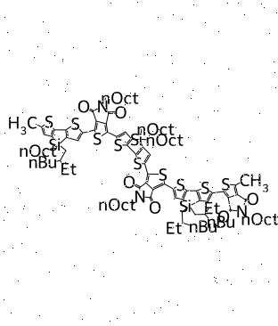 CCCCCCCCN1C(=O)c2c(C)sc(-c3cc4c(s3)-c3sc(-c5sc(-c6cc7c(s6)-c6sc(-c8sc(-c9cc%10c(s9)-c9sc(C)cc9[Si]%10(CCCCCCCC)CC(CC)CCCC)c9c8C(=O)N(CCCCCCCC)C9=O)cc6[Si]7(CCCCCCCC)CCCCCCCC)c6c5C(=O)N(CCCCCCCC)C6=O)cc3[Si]4(CC(CC)CCCC)CC(CC)CCCC)c2C1=O